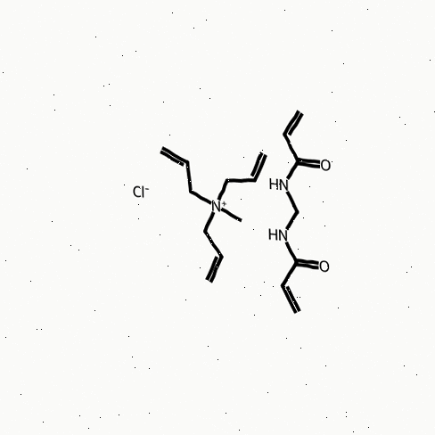 C=CC(=O)NCNC(=O)C=C.C=CC[N+](C)(CC=C)CC=C.[Cl-]